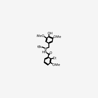 CCc1c(OC)cccc1C(=O)NN(Cc1cc(OC)c(O)c(OC)c1)C(C)(C)C